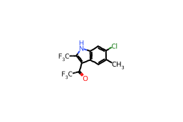 Cc1cc2c(C(=O)C(F)(F)F)c(C(F)(F)F)[nH]c2cc1Cl